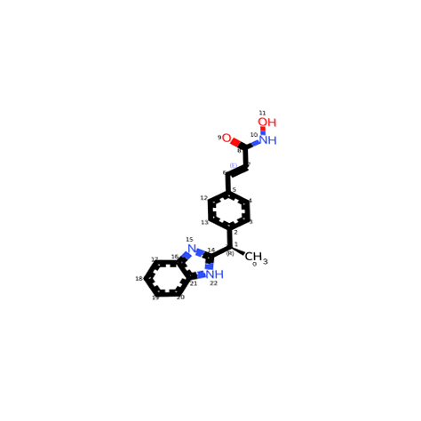 C[C@H](c1ccc(/C=C/C(=O)NO)cc1)c1nc2ccccc2[nH]1